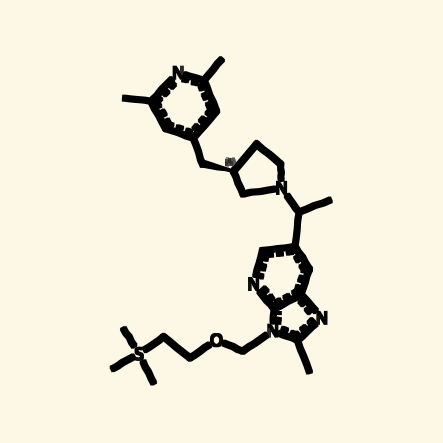 Cc1cc(C[C@H]2CCN(C(C)c3cnc4c(c3)nc(C)n4COCCS(C)(C)C)C2)cc(C)n1